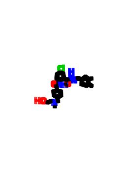 Cc1ccc(/C=N/NC(=O)c2cc(Cl)ccc2NC(=O)c2ccc(CN(C)CCO)cc2)cc1C